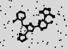 O=c1nc[nH]n1-c1nc(-c2cc(-c3ccon3)n(Cc3ccccc3F)n2)ncc1F